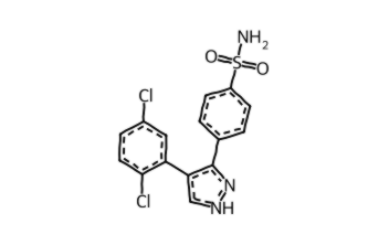 NS(=O)(=O)c1ccc(-c2n[nH]cc2-c2cc(Cl)ccc2Cl)cc1